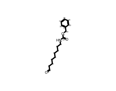 O=[C]CCCCCCCCNC(=O)OCc1ccccc1